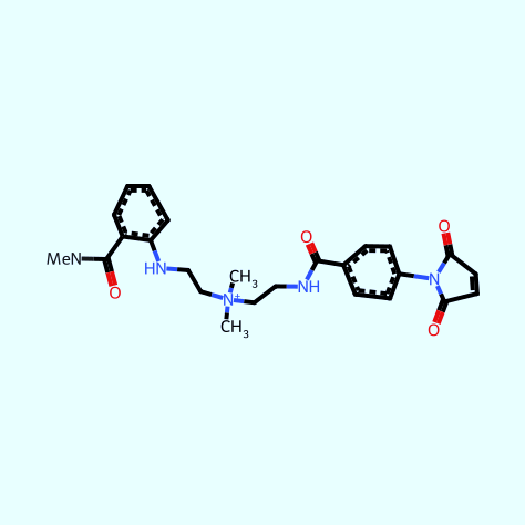 CNC(=O)c1ccccc1NCC[N+](C)(C)CCNC(=O)c1ccc(N2C(=O)C=CC2=O)cc1